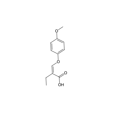 CCC(=COc1ccc(OC)cc1)C(=O)O